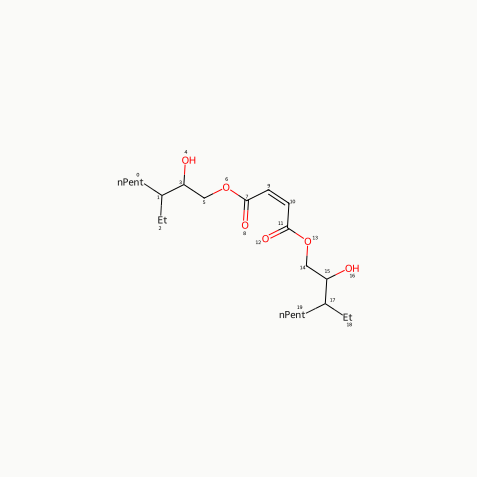 CCCCCC(CC)C(O)COC(=O)/C=C\C(=O)OCC(O)C(CC)CCCCC